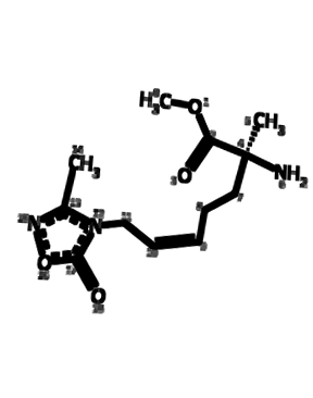 COC(=O)[C@@](C)(N)CC/C=C\Cn1c(C)noc1=O